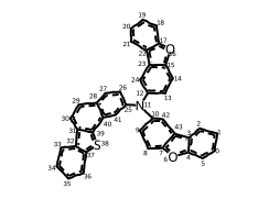 c1ccc2c(c1)oc1ccc(N(c3ccc4oc5ccccc5c4c3)c3ccc4ccc5c6ccccc6sc5c4c3)cc12